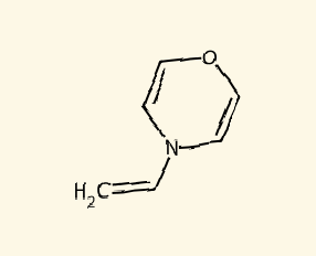 C=CN1C=COC=C1